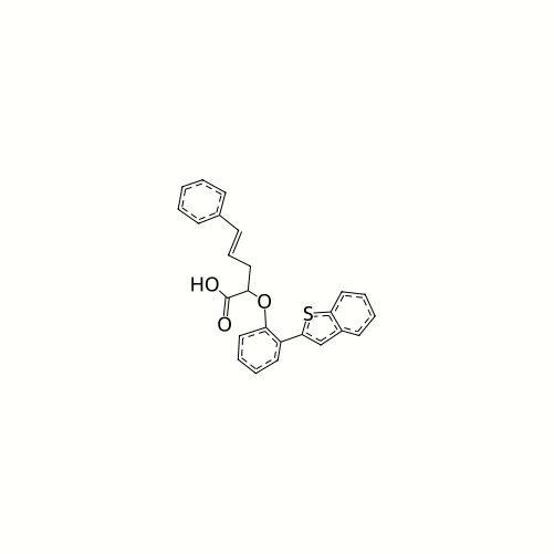 O=C(O)C(CC=Cc1ccccc1)Oc1ccccc1-c1cc2ccccc2s1